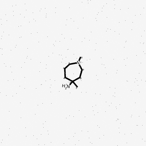 CN1CCCC(C)(N)CC1